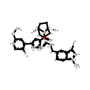 COc1cc(-c2cc(C(=O)N3[C@@H]4CC[C@H]3C[C@H](C(=O)NCc3ccc5c(c3)c(F)nn5C)C4)n[nH]2)c(F)cn1